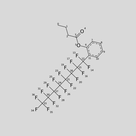 CCCC(=O)Oc1ccccc1C(F)(F)C(F)(F)C(F)(F)C(F)(F)C(F)(F)C(F)(F)C(F)(F)C(F)(F)F